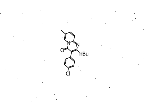 CCCCc1nc2ccc(C)cn2c(=O)c1-c1ccc(Cl)cc1